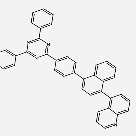 c1ccc(-c2nc(-c3ccccc3)nc(-c3ccc(-c4ccc(-c5cccc6ncccc56)c5ccccc45)cc3)n2)cc1